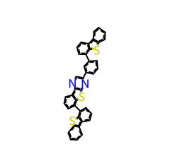 c1cc(-c2cnc3c(n2)sc2c(-c4cccc5c4sc4ccccc45)cccc23)cc(-c2cccc3c2sc2ccccc23)c1